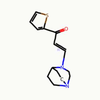 O=C(/C=C/N1CCN2CCC1CC2)c1cccs1